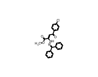 COC(=O)C(=CC(=O)c1ccc(Cl)cc1)NN=C(c1ccccc1)c1ccccc1